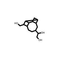 OCC(O)C1CCC2C(CO)C3C4CC(C4C1)C23